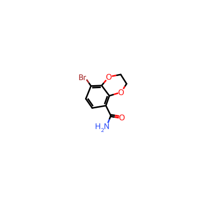 NC(=O)c1ccc(Br)c2c1OCCO2